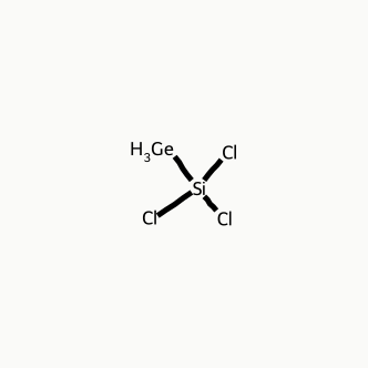 Cl[Si](Cl)(Cl)[GeH3]